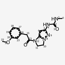 CNC(=O)Nc1cc2n(n1)CCN2C(=O)Cc1cccc(OC)c1